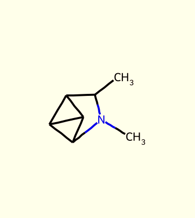 CC1C2C3C2C3N1C